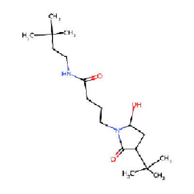 CC(C)(C)CCNC(=O)CCCN1C(=O)C(C(C)(C)C)CC1O